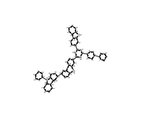 c1ccc(-c2ccc(-c3nc(-c4ccc5c(c4)oc4ccccc45)nc(-c4ccc5c(c4)oc4ccc(-c6ccc7c(c6)c6ccccc6n7-c6ccccc6)cc45)n3)cc2)cc1